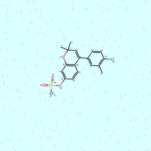 Cc1cc(C2=CC(C)(C)Oc3cc(OS(=O)(=O)C(F)(F)F)ccc32)ccc1Cl